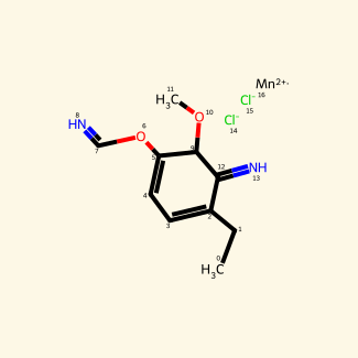 CCC1=CC=C(OC=N)C(OC)C1=N.[Cl-].[Cl-].[Mn+2]